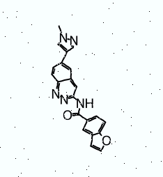 Cn1cc(-c2ccc3nnc(NC(=O)c4ccc5occc5c4)cc3c2)cn1